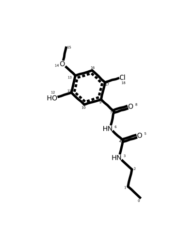 CCCNC(=O)NC(=O)c1cc(O)c(OC)cc1Cl